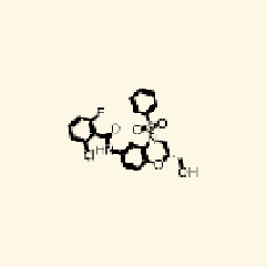 O=C(Nc1ccc2c(c1)N(S(=O)(=O)c1ccccc1)C[C@H](CO)O2)c1c(F)cccc1Cl